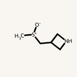 C[S+]([O-])CC1CNC1